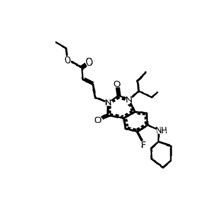 CCOC(=O)/C=C/Cn1c(=O)c2cc(F)c(NC3CCCCC3)cc2n(C(CC)CC)c1=O